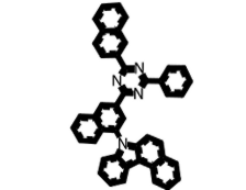 c1ccc(-c2nc(-c3ccc4ccccc4c3)nc(-c3cc(-n4c5ccccc5c5c6ccccc6ccc54)c4ccccc4c3)n2)cc1